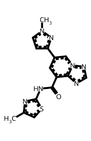 Cc1csc(NC(=O)c2cc(-c3ccn(C)n3)cn3ncnc23)n1